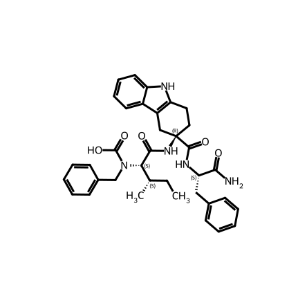 CC[C@H](C)[C@@H](C(=O)N[C@]1(C(=O)N[C@@H](Cc2ccccc2)C(N)=O)CCc2[nH]c3ccccc3c2C1)N(Cc1ccccc1)C(=O)O